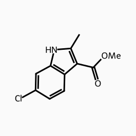 COC(=O)c1c(C)[nH]c2cc(Cl)ccc12